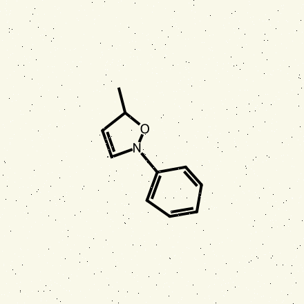 CC1C=[C]N(c2ccccc2)O1